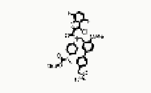 COc1ccc(-c2ccc(CS(C)(=O)=O)cc2)cc1CN(C(=O)c1sc2c(F)ccc(F)c2c1Cl)[C@H]1CC[C@H](N(C)C(=O)OC(C)(C)C)CC1